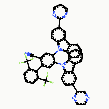 N#Cc1cc(-n2c3ccccc3c3cc(-c4ncccn4)ccc32)c(-n2c3ccccc3c3cc(-c4cnccn4)ccc32)cc1-c1c(C(F)(F)F)cccc1C(F)(F)F